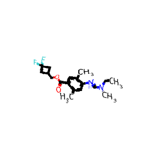 CCN(C)/C=N/c1cc(C)c(C(=O)OCC2CC(F)(F)C2)cc1C